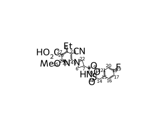 CCc1c(C#N)c(N2CC(C(=O)NS(=O)(=O)Cc3ccc(F)cc3)C2)nc(OC)c1C(=O)O